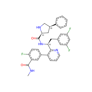 CNC(=O)c1cc(-c2cccnc2[C@H](Cc2cc(F)cc(F)c2)NC(=O)[C@@H]2C[C@H](c3ccccc3)CN2)ccc1F